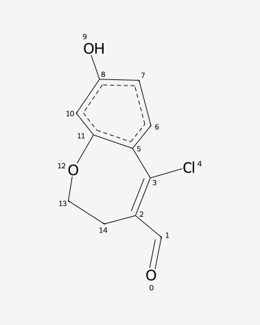 O=CC1=C(Cl)c2ccc(O)cc2OCC1